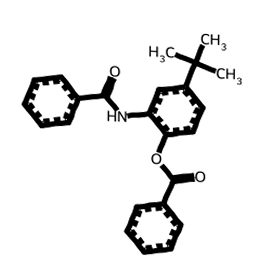 CC(C)(C)c1ccc(OC(=O)c2ccccc2)c(NC(=O)c2ccccc2)c1